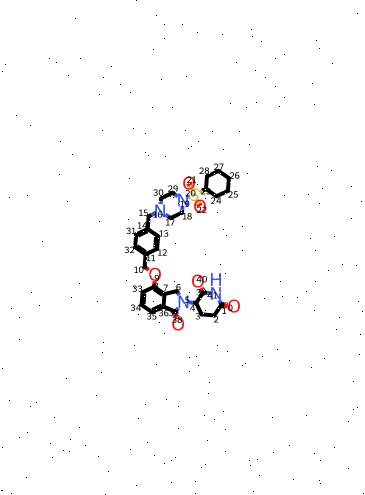 O=C1CCC(N2Cc3c(OCc4ccc(CN5CCN(S(=O)(=O)C6CCCCC6)CC5)cc4)cccc3C2=O)C(=O)N1